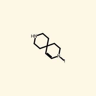 IN1C=CC2(CCNCC2)CC1